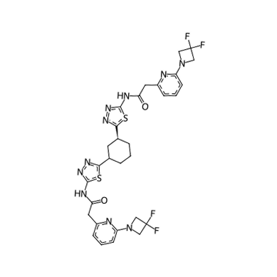 O=C(Cc1cccc(N2CC(F)(F)C2)n1)Nc1nnc(C2CCC[C@H](c3nnc(NC(=O)Cc4cccc(N5CC(F)(F)C5)n4)s3)C2)s1